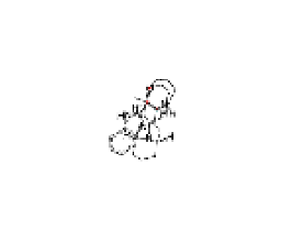 CC1(c2nc3ccccc3[nH]2)OCCNC1C1C[C@H]2CCC[C@@H](C1)N2C1C[C@H]2CCCC[C@@H](C1)C2